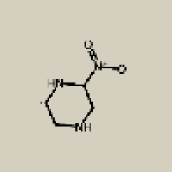 O=[N+]([O-])C1CNC[CH]N1